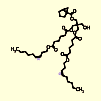 CCCCC/C=C\CCOC(=O)CCCCC(=O)OCC(CO)(COC(=O)CCCCC(=O)OCC/C=C\CCCCC)COC(=O)C12CCCC1C2